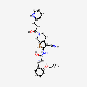 CCOc1ccccc1/C=C/C(=O)Nc1sc2c(c1C#N)CCN(C(=O)CCc1ccccn1)C2